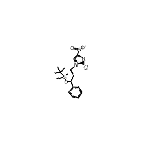 CC(C)(C)[Si](C)(C)OC(CCn1cc([N+](=O)[O-])nc1Cl)c1ccccc1